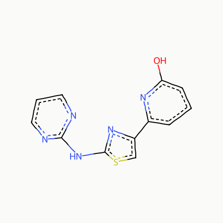 Oc1cccc(-c2csc(Nc3ncccn3)n2)n1